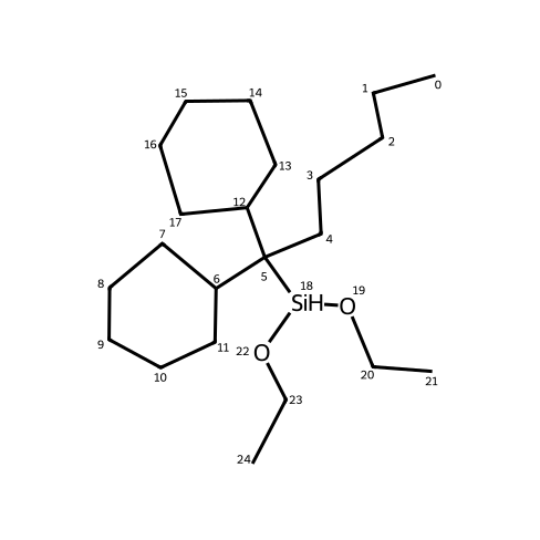 CCCCCC(C1CCCCC1)(C1CCCCC1)[SiH](OCC)OCC